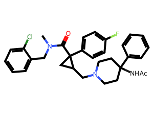 CC(=O)NC1(c2ccccc2)CCN(CC2CC2(C(=O)N(C)Cc2ccccc2Cl)c2ccc(F)cc2)CC1